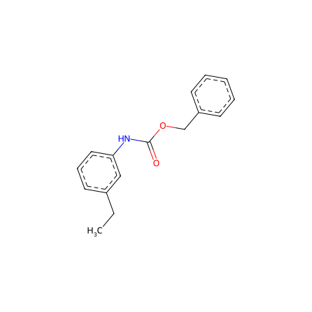 CCc1cccc(NC(=O)OCc2ccccc2)c1